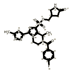 Cc1nsc(-c2nc(S(=O)(=O)OCC3CNC(=O)C3)c3n2CCN(C(=O)c2ccc(F)cc2)C3C)n1